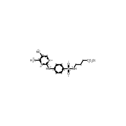 CCOC(=O)CCCNS(=O)(=O)c1ccc(Nc2ncc(C#N)c(N)n2)cc1